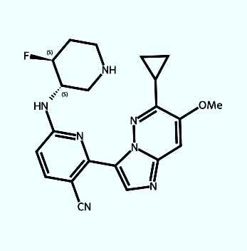 COc1cc2ncc(-c3nc(N[C@H]4CNCC[C@@H]4F)ccc3C#N)n2nc1C1CC1